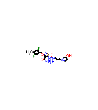 Cc1cc(F)c(COc2nsc(NC(=O)NCCCCN3CCC(O)C3)c2C(N)=O)cc1F